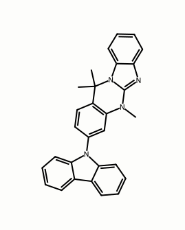 CN1c2cc(-n3c4ccccc4c4ccccc43)ccc2C(C)(C)n2c1nc1ccccc12